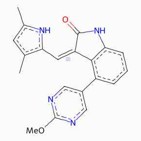 COc1ncc(-c2cccc3c2/C(=C/c2[nH]c(C)cc2C)C(=O)N3)cn1